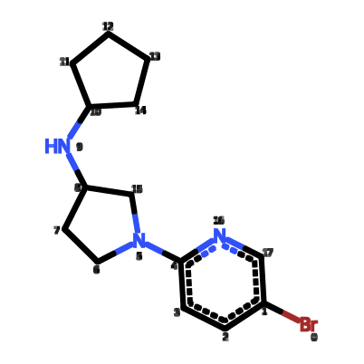 Brc1ccc(N2CCC(NC3CCCC3)C2)nc1